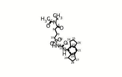 CCN(C(C)=O)C(=O)CCCS(=O)(=O)NC(=O)Nc1c2c(cc3c1CCC3)CCC2